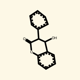 O=C1Oc2ccccc2C(O)C1c1ccccc1